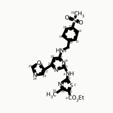 CCOC(=O)c1sc(Nc2nc(NCc3ccc(S(C)(=O)=O)cc3)cc(-c3cnco3)n2)nc1C